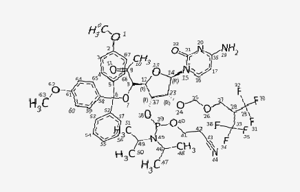 COc1ccc(C(OC(C(C)=O)[C@H]2O[C@@H](n3ccc(N)nc3=O)[C@H](OCOCC(C(F)(F)F)C(F)(F)F)[C@@H]2OP(OCCC#N)N(C(C)C)C(C)C)(c2ccccc2)c2ccc(OC)cc2)cc1